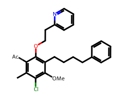 COc1c(Cl)c(C)c(C(C)=O)c(OCCc2ccccn2)c1CCCCc1ccccc1